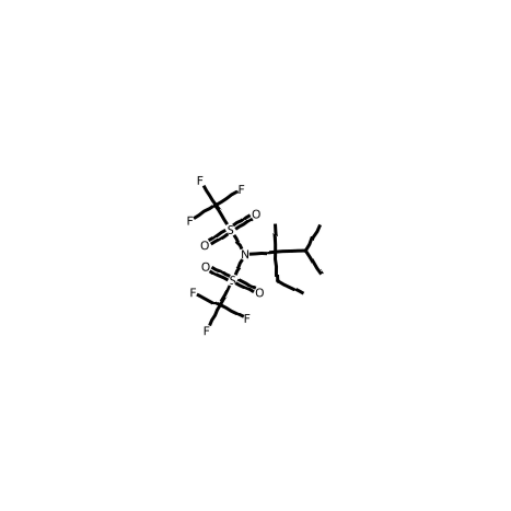 CCC(C)(C(C)C)N(S(=O)(=O)C(F)(F)F)S(=O)(=O)C(F)(F)F